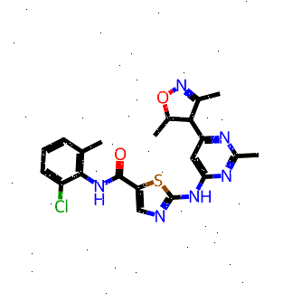 CC1=NOC(C)C1c1cc(Nc2ncc(C(=O)Nc3c(C)cccc3Cl)s2)nc(C)n1